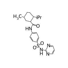 CC1CCC(C(C)C)C(C(=O)Nc2ccc(S(=O)(=O)Nc3ncccn3)cc2)C1